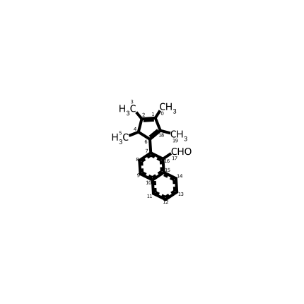 CC1=C(C)C(C)C(c2ccc3ccccc3c2C=O)=C1C